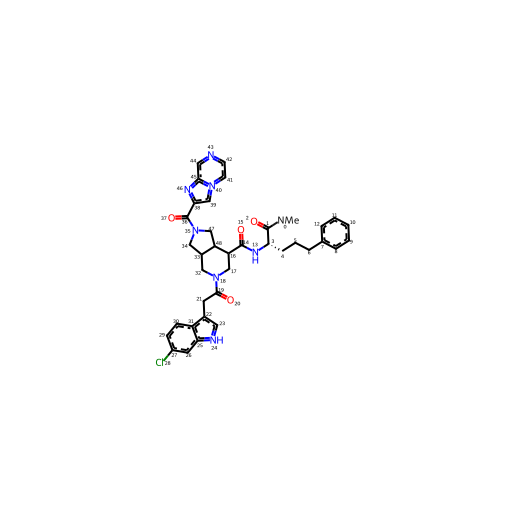 CNC(=O)[C@H](CCCc1ccccc1)NC(=O)C1CN(C(=O)Cc2c[nH]c3cc(Cl)ccc23)CC2CN(C(=O)c3cn4ccncc4n3)CC21